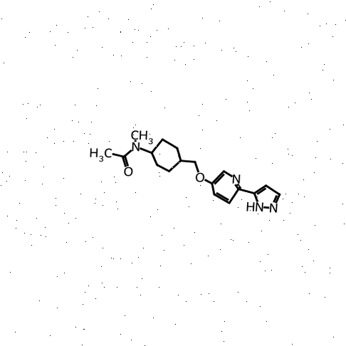 CC(=O)N(C)C1CCC(COc2ccc(-c3ccn[nH]3)nc2)CC1